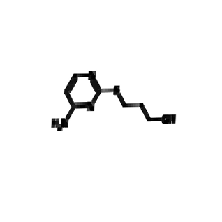 Nc1ccnc(SCCCO)n1